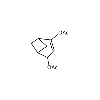 CC(=O)OC1=CC(OC(C)=O)C2CC1C2